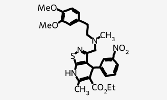 CCOC(=O)C1=C(C)Nc2snc(CN(C)CCc3ccc(OC)c(OC)c3)c2C1c1cccc([N+](=O)[O-])c1